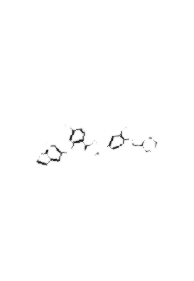 O=C(N[S+]([O-])c1ccc(NCC2COCCO2)c([N+](=O)[O-])c1)c1ccc(Br)cc1Oc1cnc2[nH]ccc2c1